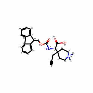 C#CCC1([C@@H](NC(=O)OCC2c3ccccc3-c3ccccc32)C(=O)O)CC[N+](C)(C)CC1